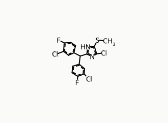 CSc1[nH]c(C(c2ccc(F)c(Cl)c2)c2ccc(F)c(Cl)c2)nc1Cl